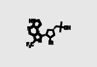 CC[C@@H]1C[C@@H](CC(C)(C)O)C[C@@H]1c1nc(C(F)(F)F)c2cnc3[nH]ccc3n12